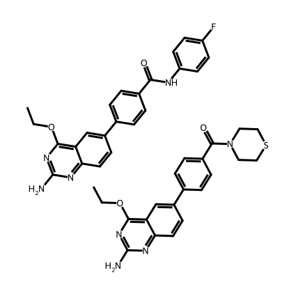 CCOc1nc(N)nc2ccc(-c3ccc(C(=O)N4CCSCC4)cc3)cc12.CCOc1nc(N)nc2ccc(-c3ccc(C(=O)Nc4ccc(F)cc4)cc3)cc12